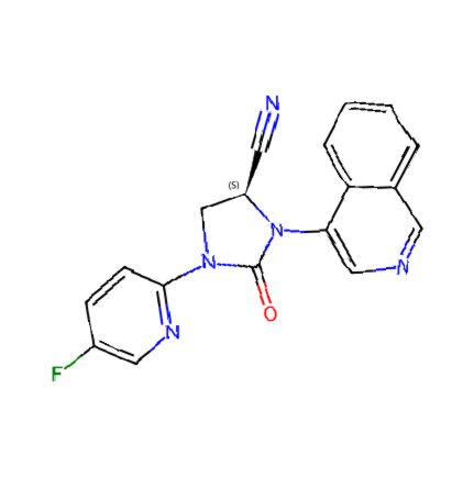 N#C[C@@H]1CN(c2ccc(F)cn2)C(=O)N1c1cncc2ccccc12